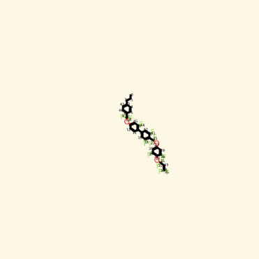 CCCc1ccc(C(F)(F)Oc2ccc(-c3cc(F)c(C(F)(F)Oc4cc(F)c(OC(F)(F)C=C(F)F)c(F)c4)c(F)c3)c(F)c2)cc1